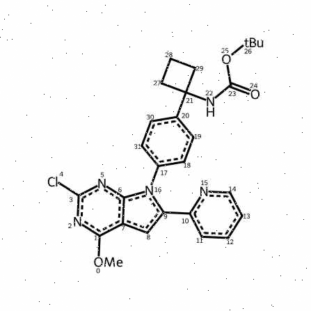 COc1nc(Cl)nc2c1cc(-c1ccccn1)n2-c1ccc(C2(NC(=O)OC(C)(C)C)CCC2)cc1